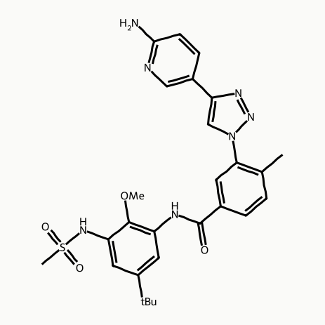 COc1c(NC(=O)c2ccc(C)c(-n3cc(-c4ccc(N)nc4)nn3)c2)cc(C(C)(C)C)cc1NS(C)(=O)=O